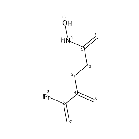 C=C(CCC(=C)C(=C)C(C)C)NO